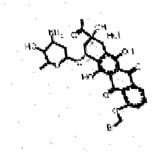 CC(=O)[C@]1(O)Cc2c(O)c3c(c(O)c2[C@@H](OC2CC(N)C(O)C(C)O2)C1)C(=O)c1c(OCBr)cccc1C3=O.Cl